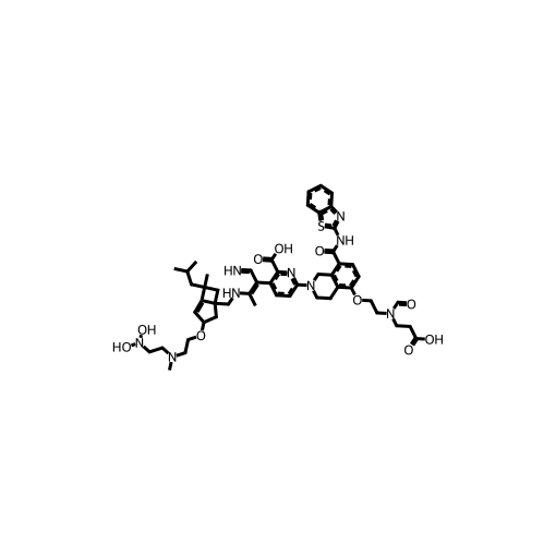 C/C(NCC12CC(OCCN(C)CCN(O)O)C=C1C(C)(CC(C)C)C2)=C(/C=N)c1ccc(N2CCc3c(OCCN(C=O)CCC(=O)O)ccc(C(=O)Nc4nc5ccccc5s4)c3C2)nc1C(=O)O